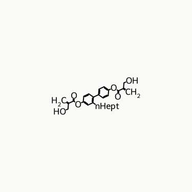 C=C(CO)C(=O)Oc1ccc(-c2ccc(OC(=O)C(=C)CO)cc2CCCCCCC)cc1